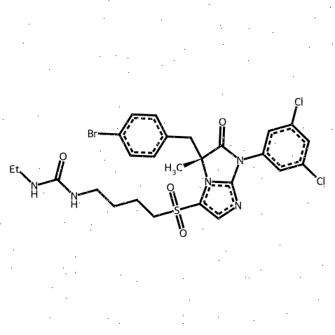 CCNC(=O)NCCCCS(=O)(=O)c1cnc2n1[C@](C)(Cc1ccc(Br)cc1)C(=O)N2c1cc(Cl)cc(Cl)c1